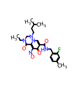 CCN1CN(CCC(C)C)n2cc(C(=O)NCc3ccc(C)cc3F)c(=O)c(N=O)c2C1=O